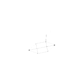 OC12C3C4C3C1C42